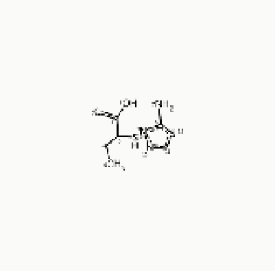 CCC(S)C(=O)O.Nc1nncs1